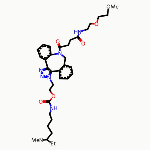 CCC(CCCCNC(=O)OCCn1nnc2c1-c1ccccc1CN(C(=O)CCC(=O)NCCOCCOC)c1ccccc1-2)NC